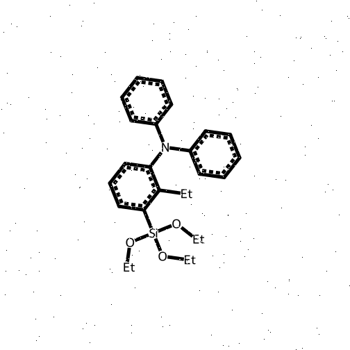 CCO[Si](OCC)(OCC)c1cccc(N(c2ccccc2)c2ccccc2)c1CC